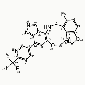 Fc1ccc2c3c1CNc1c(cc(-c4cnc(C(F)(F)F)nc4)c4nncn14)OC[C@H]3CO2